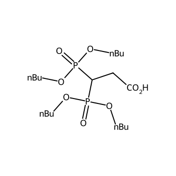 CCCCOP(=O)(OCCCC)C(CC(=O)O)P(=O)(OCCCC)OCCCC